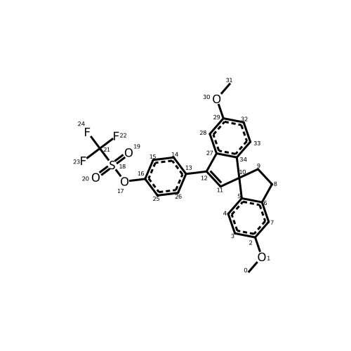 COc1ccc2c(c1)CCC21C=C(c2ccc(OS(=O)(=O)C(F)(F)F)cc2)c2cc(OC)ccc21